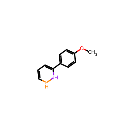 COc1ccc(C2=CC=CP[IH]2)cc1